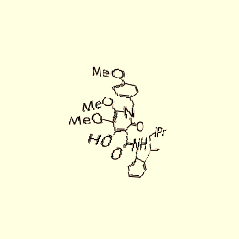 COc1ccc(Cn2c(OC)c(OC)c(O)c(C(=O)Nc3ccccc3C(C)CC(C)C)c2=O)cc1